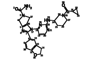 NC(=O)N1Cc2nc(-c3ccc4c(c3)CCO4)n(-c3ccnc(NC4CCCN(C(=O)C5CC5)C4)n3)c2C1